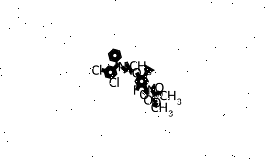 COC(=O)[C@@H]1[C@@H](C)OCN1C(=O)c1cc(C2CC2)c(OCC2(C)CN([C@H](c3ccccc3)c3cc(Cl)cc(Cl)c3)C2)cc1F